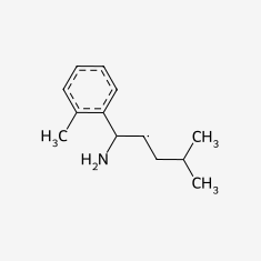 Cc1ccccc1C(N)[CH]CC(C)C